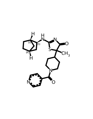 CC1(C2CCN(C(=O)c3ccncc3)CC2)SC(N[C@H]2C[C@@H]3CC[C@H]2C3)=NC1=O